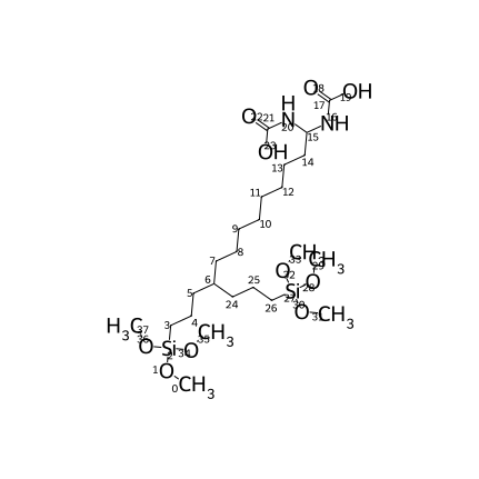 CO[Si](CCCC(CCCCCCCCC(NC(=O)O)NC(=O)O)CCC[Si](OC)(OC)OC)(OC)OC